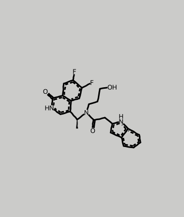 C[C@@H](c1c[nH]c(=O)c2cc(F)c(F)cc12)N(CCCO)C(=O)Cc1cc2ccccc2[nH]1